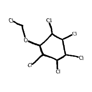 ClCOC1C(Cl)C(Cl)C(Cl)C(Cl)C1Cl